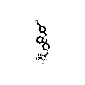 N#Cc1ccc(COCC2(c3ccccc3)CCN(Cc3n[nH]c(=O)[nH]3)CC2)cc1